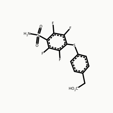 NS(=O)(=O)c1c(F)c(F)c(Sc2ccc(CC(=O)O)cc2)c(F)c1F